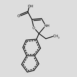 CCC1(c2ccc3ccccc3c2)NC=C(C(=O)O)O1